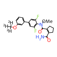 [2H]C([2H])([2H])Oc1cccc(-c2cc(F)c(N(OC)C(=O)C3=C(C(N)=O)CCC3)c(F)c2)c1